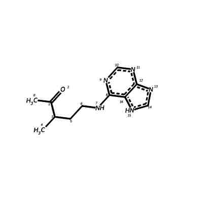 CC(=O)C(C)CCNc1ncnc2nc[nH]c12